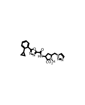 O=C(NC1CC(Cn2ccnn2)N(C(=O)O)C1)c1nnc(-c2ccccc2C2CC2)o1